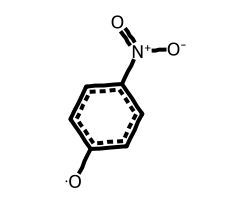 [O]c1ccc([N+](=O)[O-])cc1